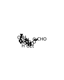 CCN(C(=O)OCOC(=O)/C=C/C=O)C(=O)c1cn2ncnc(Nc3cc(C(=O)NC4CC4)ccc3C)c2c1C